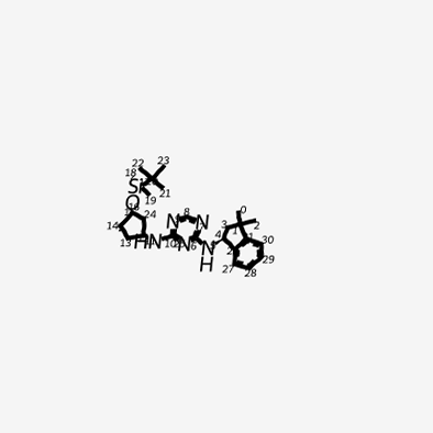 CC1(C)C[C@H](Nc2ncnc(N[C@@H]3C[CH][C@H](O[Si](C)(C)C(C)(C)C)C3)n2)c2ccccc21